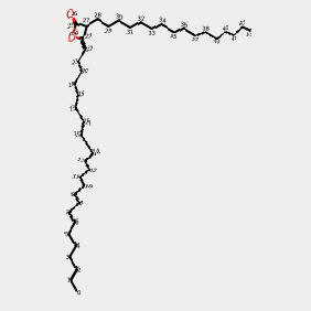 CCCCCCCCCCCCCCCCCCCCCC/C=C1\OC(=O)C1CCCCCCCCCCCCCCCC